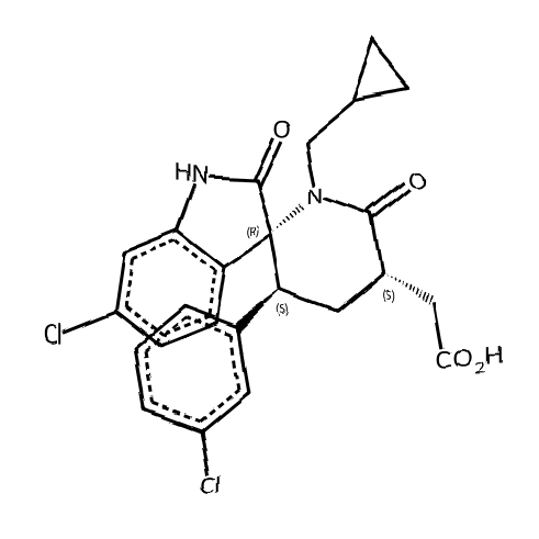 O=C(O)C[C@@H]1C[C@@H](c2cccc(Cl)c2)[C@@]2(C(=O)Nc3cc(Cl)ccc32)N(CC2CC2)C1=O